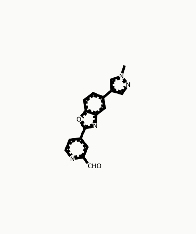 Cn1cc(-c2ccc3oc(-c4ccnc(C=O)c4)nc3c2)cn1